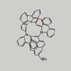 CC(C)(C)c1cc2ccc3c4cc(c5ccc(c1)c2c35)N(c1ccccc1-c1ccccc1)c1cccc(c1)S1(c2cccc(c2)N4c2ccccc2-c2ccccc2)c2ccccc2-c2ccccc21